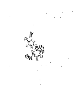 N#Cc1cc(Nc2cc(N=O)ccn2)ccc1F